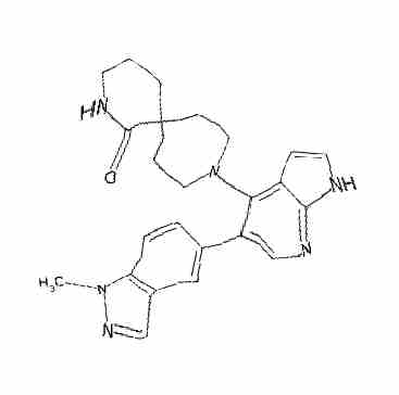 Cn1ncc2cc(-c3cnc4[nH]ccc4c3N3CCC4(CCCNC4=O)CC3)ccc21